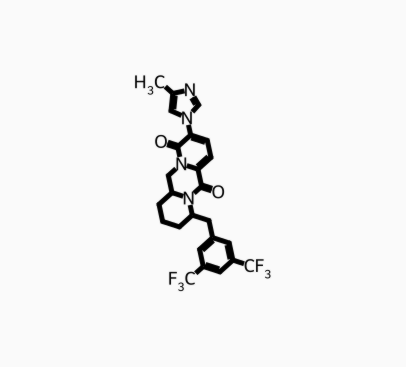 Cc1cn(-c2ccc3n(c2=O)CC2CCCC(Cc4cc(C(F)(F)F)cc(C(F)(F)F)c4)N2C3=O)cn1